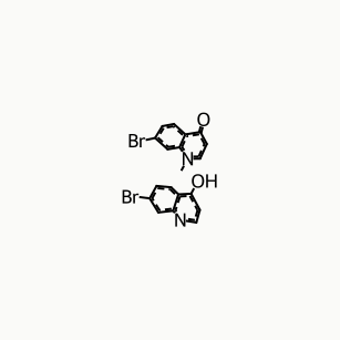 Cn1ccc(=O)c2ccc(Br)cc21.Oc1ccnc2cc(Br)ccc12